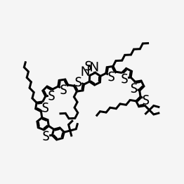 CCCCCCCCc1cc(-c2ccc3sc4ccc(C(C)(CC)CC)cc4c3c2)sc1-c1ccc(-c2ccc(-c3sc(-c4ccc(-c5cc(CCCCCCCC)c(-c6ccc(-c7ccc(-c8sc(C(C)(CC)CC)cc8CCCCCCCC)s7)s6)s5)c5nsnc45)cc3CCCCCCCC)s2)s1